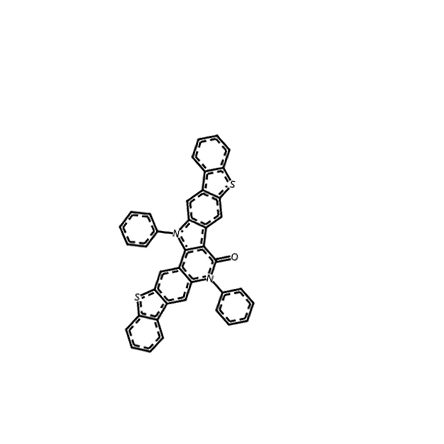 O=c1c2c3cc4sc5ccccc5c4cc3n(-c3ccccc3)c2c2cc3sc4ccccc4c3cc2n1-c1ccccc1